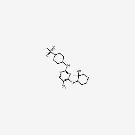 CC1(O)COCCC1Oc1nc(NC2CCN(S(C)(=O)=O)CC2)ncc1C(F)(F)F